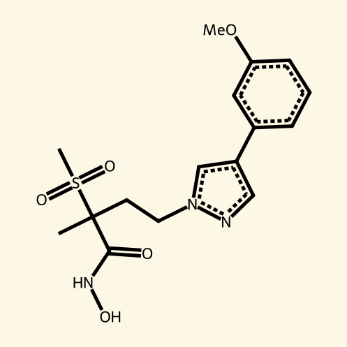 COc1cccc(-c2cnn(CCC(C)(C(=O)NO)S(C)(=O)=O)c2)c1